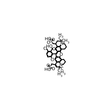 CC1(C)C=C(CS(=O)(=O)O)c2cc3c(c4c2N1CCC4)Oc1c2c4c(cc1=C3c1c(Cl)ccc(Cl)c1C(=O)O)C(CS(=O)(=O)O)CC(C)(C)[N+]=4CCC2